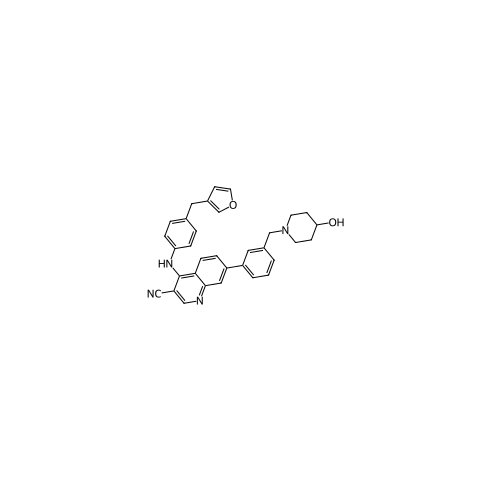 N#Cc1cnc2cc(-c3cccc(CN4CCC(O)CC4)c3)ccc2c1Nc1ccc(Cc2ccoc2)cc1